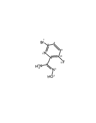 N/C(=N\O)c1nc(Br)ccc1F